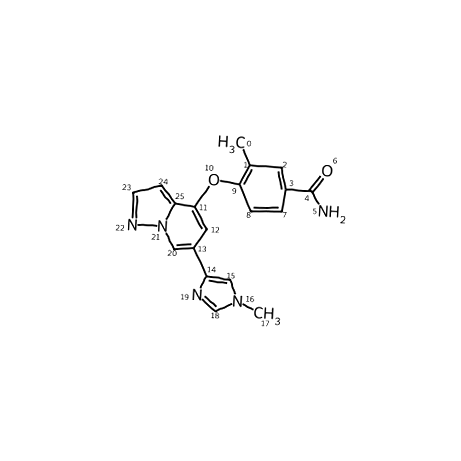 Cc1cc(C(N)=O)ccc1Oc1cc(-c2cn(C)cn2)cn2nccc12